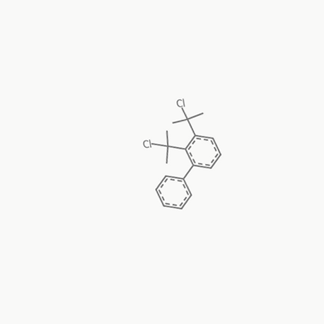 CC(C)(Cl)c1cccc(-c2ccccc2)c1C(C)(C)Cl